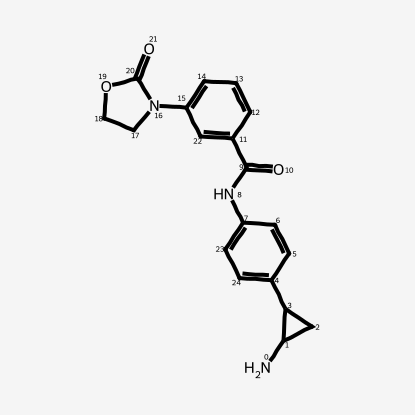 NC1CC1c1ccc(NC(=O)c2cccc(N3CCOC3=O)c2)cc1